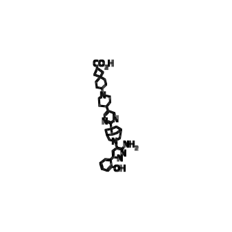 Nc1nnc(-c2ccccc2O)cc1N1CC2CC3C(C1)CC3(c1ncc(C3CCN(C4CCC5(CC4)CC(C(=O)O)C5)CC3)cn1)C2